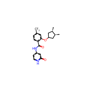 C[C@@H]1CC(Oc2cc(C(F)(F)F)ccc2C(=O)Nc2cc[nH]c(=O)c2)C[C@@H]1C